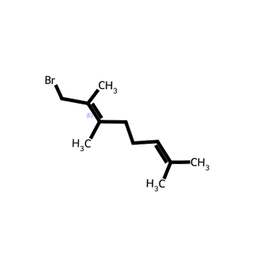 CC(C)=CCC/C(C)=C(\C)CBr